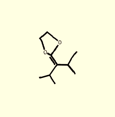 CC(C)C(=C1OCCO1)C(C)C